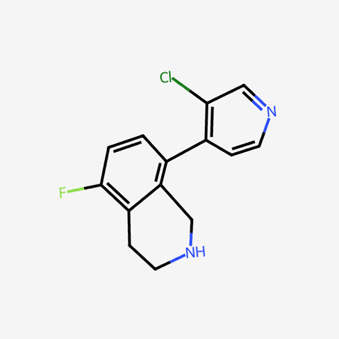 Fc1ccc(-c2ccncc2Cl)c2c1CCNC2